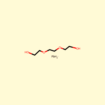 OCCOCCOCCO.[PbH2]